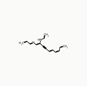 C=C/C=C\C=C\C#C/C(=C/N=C/C=C)NC=C